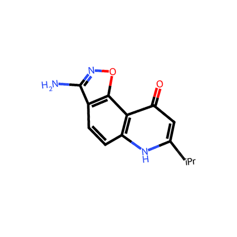 CC(C)c1cc(=O)c2c(ccc3c(N)noc32)[nH]1